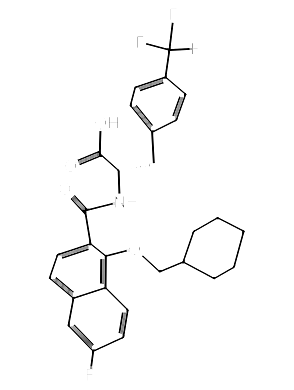 O=C(N[C@@H](Cc1ccc(C(F)(F)F)cc1)C(=O)O)c1ccc2cc(F)ccc2c1OCC1CCCCC1